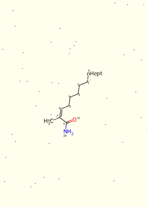 CCCCCCCCCCCCC=C(C)C(N)=O